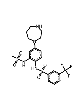 CS(=O)(=O)Nc1cc(N2CCCNCC2)ccc1NS(=O)(=O)c1cccc(C(F)(F)F)c1